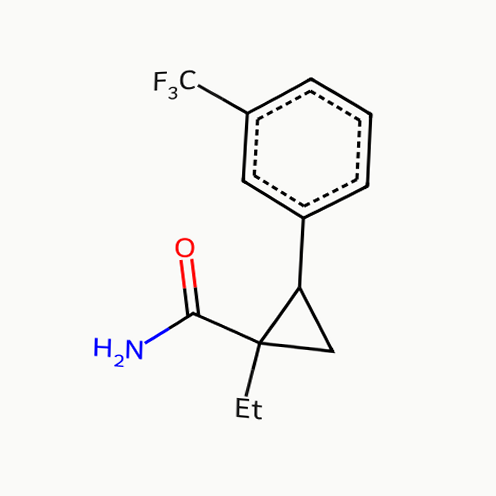 CCC1(C(N)=O)CC1c1cccc(C(F)(F)F)c1